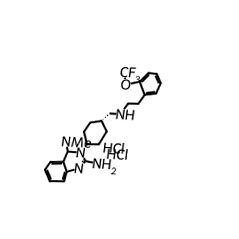 CNC1c2ccccc2N=C(N)N1[C@H]1CC[C@@H](CNCCc2ccccc2OC(F)(F)F)CC1.Cl.Cl